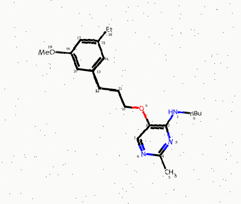 CCCCNc1nc(C)ncc1OCCCc1cc(CC)cc(OC)c1